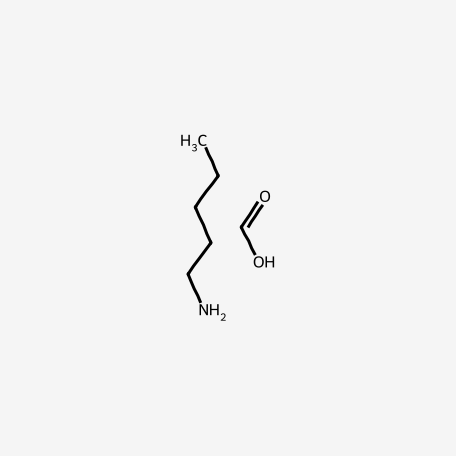 CCCCCN.O=CO